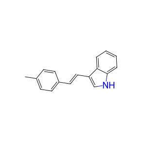 Cc1ccc(C=Cc2c[nH]c3ccccc23)cc1